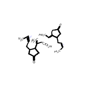 C/C=C\CC1CC(=O)CC1C(C)C(=O)O.C/C=C\CC1CC(=O)CC1CC(=O)O